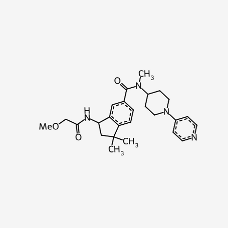 COCC(=O)NC1CC(C)(C)c2ccc(C(=O)N(C)C3CCN(c4ccncc4)CC3)cc21